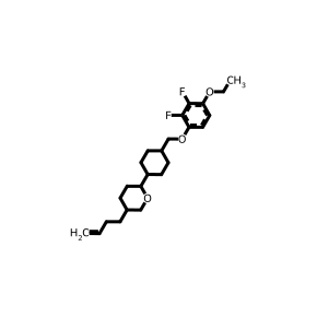 C=CCCC1CCC(C2CCC(COc3ccc(OCC)c(F)c3F)CC2)OC1